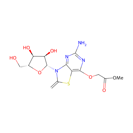 C=C1Sc2c(OCC(=O)OC)nc(N)nc2N1[C@@H]1O[C@H](CO)[C@@H](O)[C@H]1O